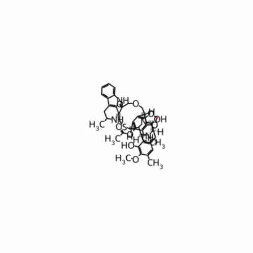 COc1c(C)cc2c(c1O)[C@H]1C3[C@@H]4SC[C@]5(NC(C)Cc6c5[nH]c5ccccc65)C(=O)COC[C@@H](c5c6c(c(C)c(OC(C)=O)c54)OCO6)N3[C@@H](O)[C@@H](C2)N1C